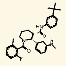 CNC1=CC=CC([C@H]2[C@@H](C(=O)Nc3cccc(C(C)(C)C)c3)CCCN2C(=O)c2c(C)cccc2F)C1